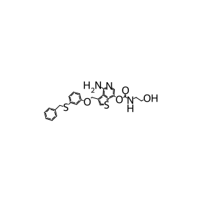 Nc1ncc(OC(=O)NCCO)c2scc(COc3cccc(SCc4ccccc4)c3)c12